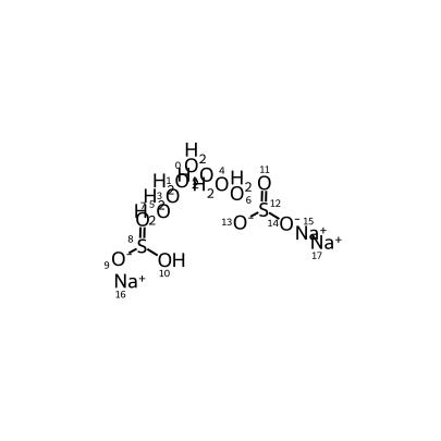 O.O.O.O.O.O.O.O=S([O-])O.O=S([O-])[O-].[Na+].[Na+].[Na+]